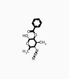 CC1O[C@H](O)C(OC(=O)c2ccccc2)[C@@H](C)[C@@H]1N=[N+]=[N-]